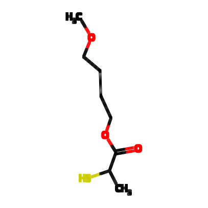 COCCCCOC(=O)C(C)S